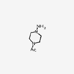 CC(=O)N1CCN(N)CC1